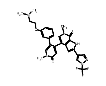 CN(C)CCOc1cccc(-c2cn(C)c(=O)cc2-c2cn(C)c(=O)c3[nH]c(-c4cnn(C(F)(F)F)c4)cc23)c1